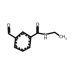 CCNC(=O)c1cccc(C=O)c1